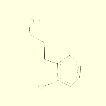 CCCCCCCCCc1ccccc1O.[Ca]